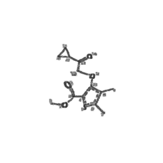 COC(=O)c1sc(C)c(C)c1OCC(=O)C1CC1